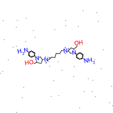 C[N+](C)(CCCCCC[N+](C)(C)C1CC(CO)N(c2ccc(N)cc2)C1)C1CC(CO)N(c2ccc(N)cc2)C1